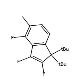 Cc1ccc2c(c1F)C(F)=C(F)C2(C(C)(C)C)C(C)(C)C